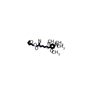 COc1cc(N(C)C)cc(OC)c1/C=C/CC/C=C(\C#N)C(=O)OCc1ccco1